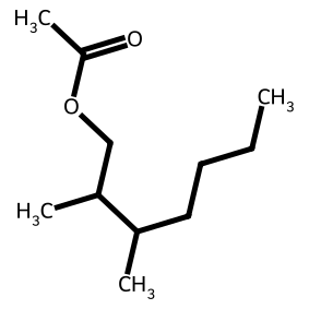 CCCCC(C)C(C)COC(C)=O